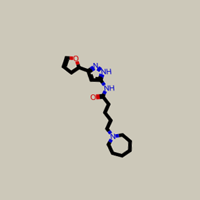 O=C(CCCCN1CCCCCC1)Nc1cc(C2CC=CO2)n[nH]1